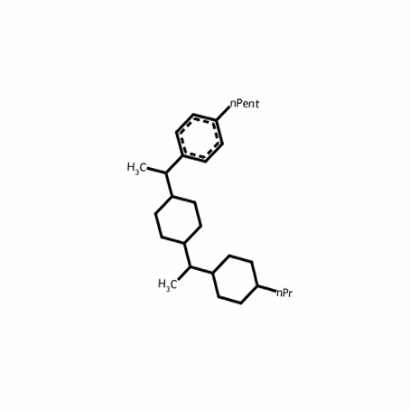 CCCCCc1ccc(C(C)C2CCC(C(C)C3CCC(CCC)CC3)CC2)cc1